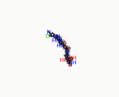 N#Cc1ccc(N2CCc3c(ncnc3Nc3ccc(C(=O)NC4CCC(C(=O)N5CCN(c6ccc7c(c6)C(O)N(C6CCC(=O)NC6=O)C7O)CC5)CC4)c(F)n3)C2)cc1Cl